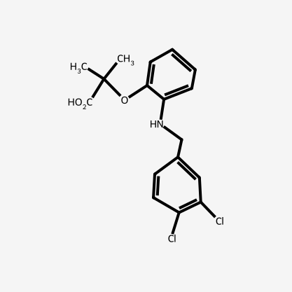 CC(C)(Oc1ccccc1NCc1ccc(Cl)c(Cl)c1)C(=O)O